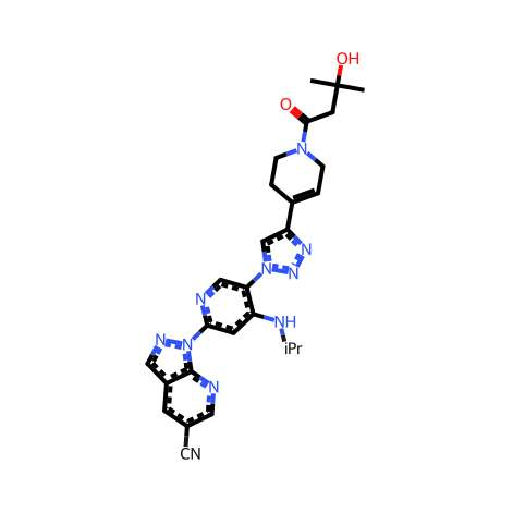 CC(C)Nc1cc(-n2ncc3cc(C#N)cnc32)ncc1-n1cc(C2=CCN(C(=O)CC(C)(C)O)CC2)nn1